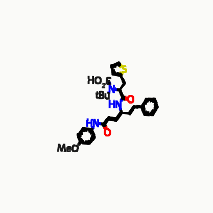 COc1ccc(NC(=O)C=C[C@H](CCc2ccccc2)NC(=O)[C@H](Cc2cccs2)N(C(=O)O)C(C)(C)C)cc1